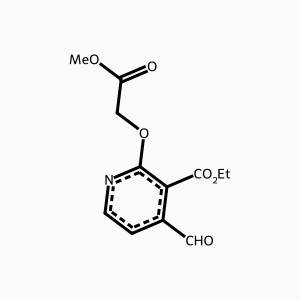 CCOC(=O)c1c(C=O)ccnc1OCC(=O)OC